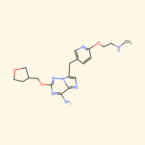 CNCCOc1ccc(Cc2cnc3c(N)nc(OCC4CCOC4)nn23)cn1